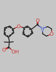 CC(C)(C(=O)O)c1cccc(Oc2cccc(C(=O)N3CCOCC3)c2)c1